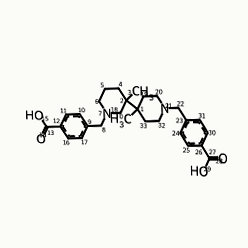 CC1(C2(C)CCCN(Cc3ccc(C(=O)O)cc3)C2)CCN(Cc2ccc(C(=O)O)cc2)CC1